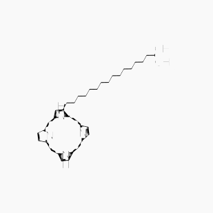 CC(C)CCCCCCCCCCCCCCCc1cc2cc3nc(cc4ccc(cc5nc(cc1[nH]2)C=C5)[nH]4)C=C3